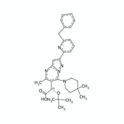 Cc1nc2cc(-c3cccc(Cc4ccccc4)n3)nn2c(N2CCC(C)(C)CC2)c1[C@H](OC(C)(C)C)C(=O)O